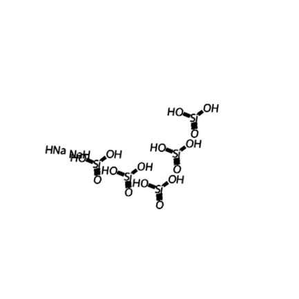 O=[Si](O)O.O=[Si](O)O.O=[Si](O)O.O=[Si](O)O.O=[Si](O)O.[NaH].[NaH]